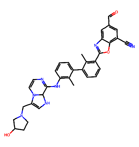 Cc1c(NC2=NC=CN3C(CN4CCC(O)C4)=CNC23)cccc1-c1cccc(-c2nc3cc(C=O)cc(C#N)c3o2)c1C